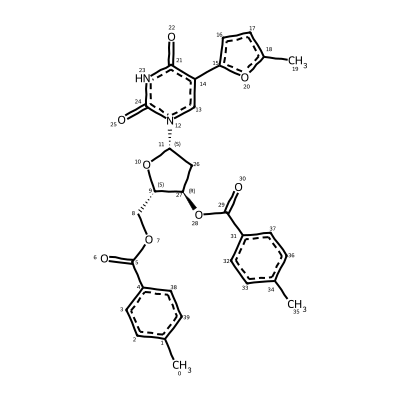 Cc1ccc(C(=O)OC[C@@H]2O[C@H](n3cc(-c4ccc(C)o4)c(=O)[nH]c3=O)C[C@H]2OC(=O)c2ccc(C)cc2)cc1